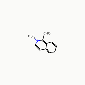 CN1C=CC2=CCC=CC2=C1C=O